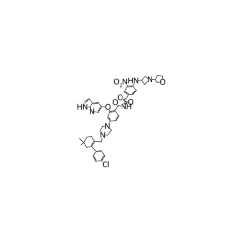 CC1(C)CCC(CN2CCN(c3ccc(C(=O)NS(=O)(=O)c4ccc(NC5CN(C6CCOC6)C5)c([N+](=O)[O-])c4)c(Oc4cnc5[nH]ccc5c4)c3)CC2)=C(c2ccc(Cl)cc2)C1